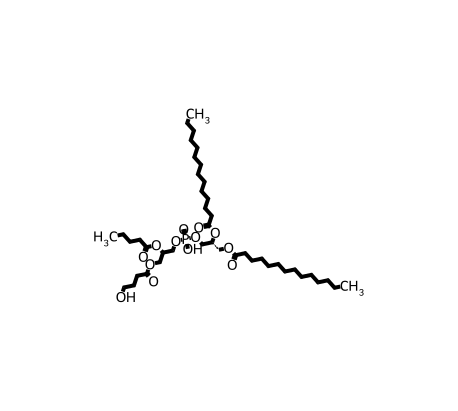 CCCCCCCCCCCCCC(=O)OC[C@H](COP(=O)(O)OCC(COC(=O)CCCO)OC(=O)CCCC)OC(=O)CCCCCCCCCCCCC